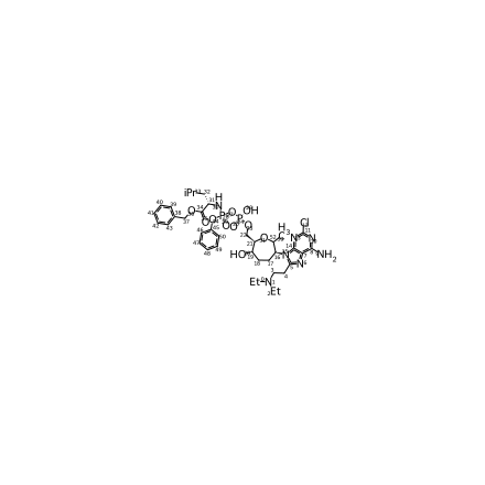 CCN(CC)CCc1nc2c(N)nc(Cl)nc2n1[C@H]1CC[C@@H](O)[C@@H](COP(=O)(O)OP(=O)(N[C@@H](CC(C)C)C(=O)OCc2ccccc2)Oc2ccccc2)OC1C